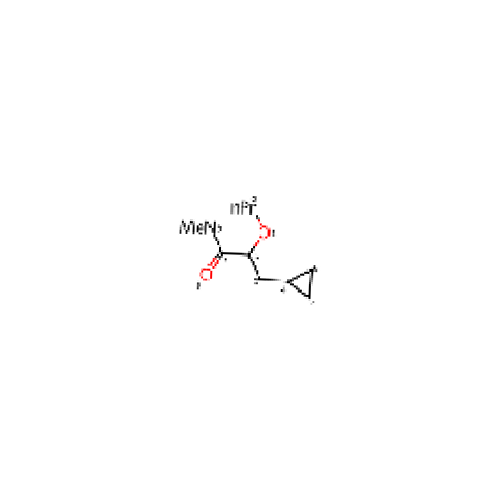 CCCOC(CC1CC1)C(=O)NC